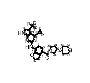 O=C(c1ccc(Nc2nc(C3CC3)c3c(C(F)(F)F)c[nH]c3n2)c2c1CCO2)N1CC[C@H](N2CCOCC2)C1